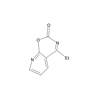 CCc1nc(=O)oc2ncccc12